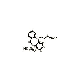 CNCCCN1c2ccccc2CCc2ccccc21.O=S(=O)(O)O